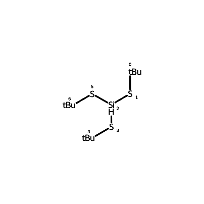 CC(C)(C)S[SiH](SC(C)(C)C)SC(C)(C)C